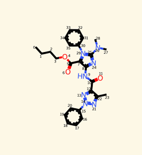 CCCCOC(=O)c1c(NC(=O)c2nn(-c3ccccc3)nc2C)nc(N(C)C)n1-c1ccccc1